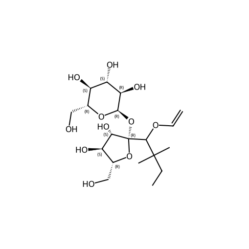 C=COC(C(C)(C)CC)[C@@]1(O[C@H]2O[C@H](CO)[C@@H](O)[C@H](O)[C@H]2O)O[C@H](CO)[C@@H](O)[C@@H]1O